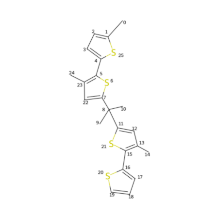 Cc1ccc(-c2sc(C(C)(C)c3cc(C)c(-c4cccs4)s3)cc2C)s1